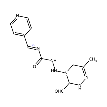 CC1=NNC(C=O)N(NNC(=O)/N=C/c2ccncc2)C1